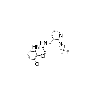 FC1(F)CN(c2ncccc2CNC(=S)Nc2cccc(Cl)c2Cl)C1